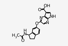 CC(=O)NC1CCc2ccc(Oc3cnc4[nH]cc(C(=O)O)c4n3)cc21